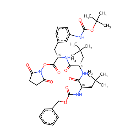 CC(C)(C)C[C@H](NC(=O)[C@@H](CC(C)(C)C)NC(=O)OCc1ccccc1)C(=O)N[C@@H](Cc1cccc(NC(=O)OC(C)(C)C)c1)C(=O)ON1C(=O)CCC1=O